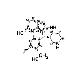 Cl.Cl.Fc1ccc(Cn2c(NC3CCNCC3)nc3cccnc32)cc1.O